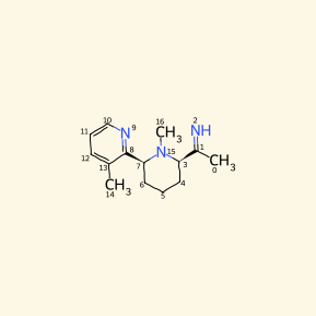 CC(=N)[C@H]1CCC[C@@H](c2ncccc2C)N1C